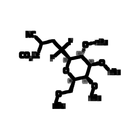 CCCCOC[C@H]1O[C@@H](C(F)(F)CC(C#N)C(=O)OCC)[C@H](OCCCC)[C@@H](OCCCC)[C@H]1OCCCC